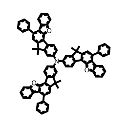 CC1(C)c2cc(N(c3ccc4c(c3)C(C)(C)c3cc(-c5ccccc5)c5c(oc6ccccc65)c3-4)c3ccc4c(c3)C(C)(C)c3cc(-c5ccccc5)c5c(oc6ccccc65)c3-4)ccc2-c2c1cc(-c1ccccc1)c1c2oc2ccccc21